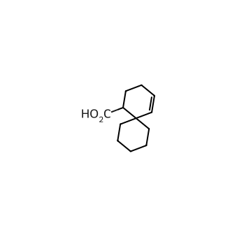 O=C(O)C1CCC=CC12CCCCC2